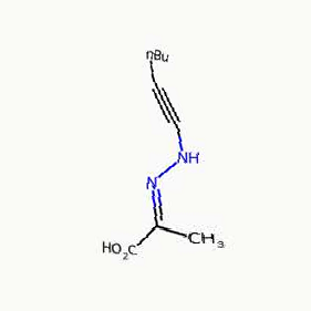 CCCCC#CNN=C(C)C(=O)O